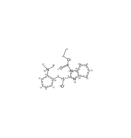 CCOC(=O)n1c([S+]([O-])Cc2ccccc2N(C)C)nc2ccccc21